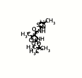 Cc1csc(NC(=O)C(NC(=O)OC(C)(C)C)C(C)C)n1